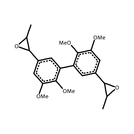 COc1cc(C2OC2C)cc(-c2cc(C3OC3C)cc(OC)c2OC)c1OC